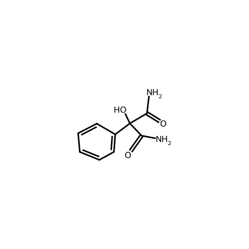 NC(=O)C(O)(C(N)=O)c1ccccc1